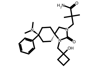 CN(C)[C@]1(c2ccccc2)CC[C@]2(CC1)CN(CC(C)(C)C(N)=O)C(=O)N2CC1(O)CCC1